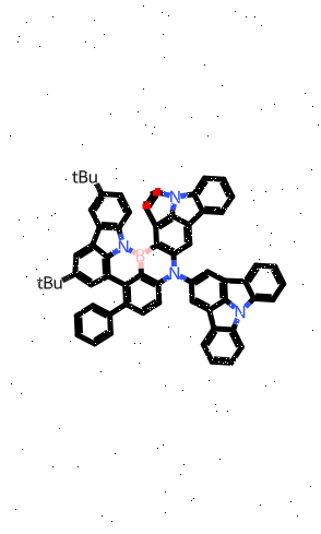 CC(C)(C)c1ccc2c(c1)c1cc(C(C)(C)C)cc3c1n2B1c2c(ccc(-c4ccccc4)c2-3)N(c2cc3c4ccccc4n4c5ccccc5c(c2)c34)c2cc3c4ccccc4n4c5ccccc5c(c21)c34